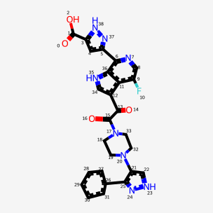 O=C(O)c1cc(-c2ncc(F)c3c(C(=O)C(=O)N4CCN(c5c[nH]nc5-c5ccccc5)CC4)c[nH]c23)n[nH]1